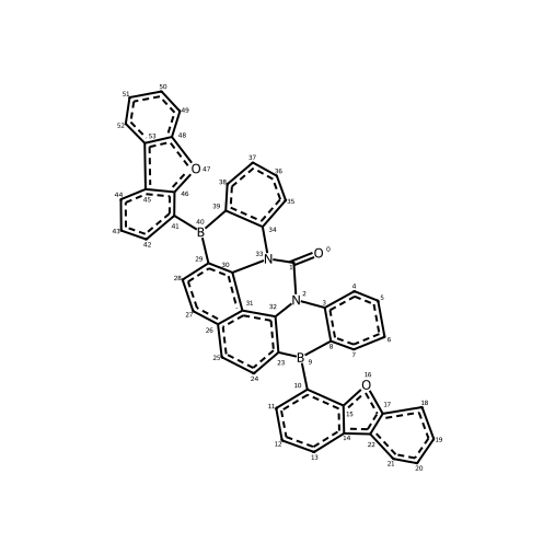 O=C1N2c3ccccc3B(c3cccc4c3oc3ccccc34)c3ccc4ccc5c(c4c32)N1c1ccccc1B5c1cccc2c1oc1ccccc12